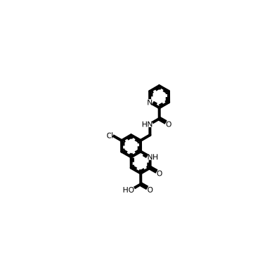 O=C(NCc1cc(Cl)cc2cc(C(=O)O)c(=O)[nH]c12)c1ccccn1